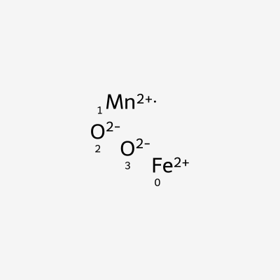 [Fe+2].[Mn+2].[O-2].[O-2]